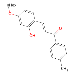 CCCCCCOc1ccc(C=CC(=O)c2ccc(C)cc2)c(O)c1